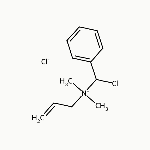 C=CC[N+](C)(C)C(Cl)c1ccccc1.[Cl-]